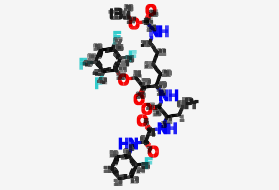 CC(C)CC(NC(=O)C(=O)Nc1ccccc1F)C(=O)NC(CCCCNC(=O)OC(C)(C)C)C(=O)COc1c(F)c(F)cc(F)c1F